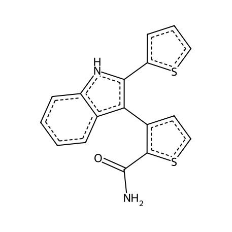 NC(=O)c1sccc1-c1c(-c2cccs2)[nH]c2ccccc12